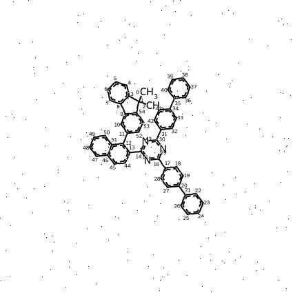 CC1(C)c2ccccc2-c2cc(-c3c(-c4nc(-c5ccc(-c6ccccc6)cc5)nc(-c5ccc(-c6ccccc6)cc5)n4)ccc4ccccc34)ccc21